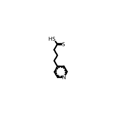 S=C(S)CCCc1ccncc1